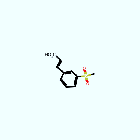 CS(=O)(=O)c1cccc(C=CC(=O)O)c1